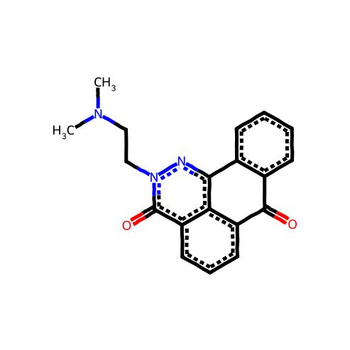 CN(C)CCn1nc2c3c(cccc3c1=O)C(=O)c1ccccc1-2